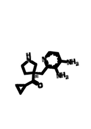 Nc1ccnc(C[C@@]2(C(=O)C3CC3)CCNC2)c1N